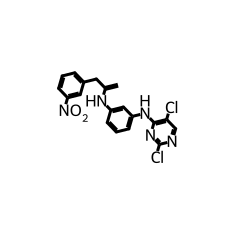 C=C(Cc1cccc([N+](=O)[O-])c1)Nc1cccc(Nc2nc(Cl)ncc2Cl)c1